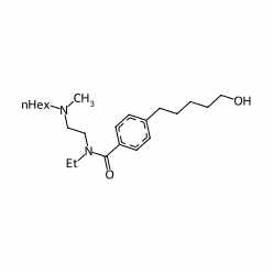 CCCCCCN(C)CCN(CC)C(=O)c1ccc(CCCCCO)cc1